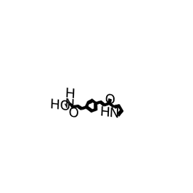 O=C(C=Cc1ccc(C=CC(=O)c2ccc[nH]2)cc1)NO